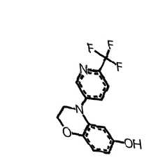 Oc1ccc2c(c1)N(c1ccc(C(F)(F)F)nc1)CCO2